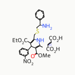 CCOC(=O)C1=C(CSCC(N)c2ccccc2)NC(C)=C(C(=O)OC)C1c1cccc([N+](=O)[O-])c1.O=C(O)/C=C/C(=O)O